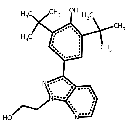 CC(C)(C)c1cc(-c2nn(CCO)c3ncccc23)cc(C(C)(C)C)c1O